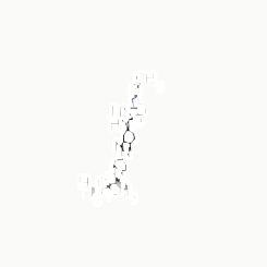 CCO/C=C/C(=O)NC(=O)Nc1ccc2cn(C3CCN(C(=O)OC(C)(C)C)CC3)nc2c1